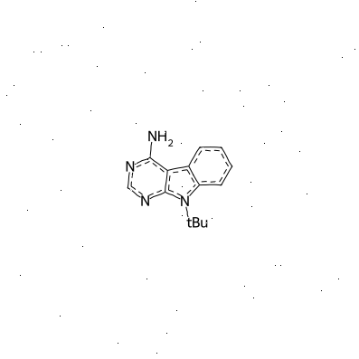 CC(C)(C)n1c2ccccc2c2c(N)ncnc21